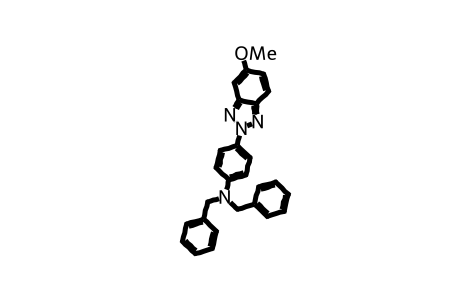 COc1ccc2nn(-c3ccc(N(Cc4ccccc4)Cc4ccccc4)cc3)nc2c1